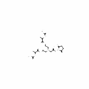 CCCOC(=O)NC(C)C(=O)OCCN(CCOC(=O)C(C)NC(=O)OCCC)CC(=O)ON1C(=O)CCC1=O